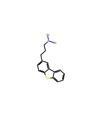 CCN(CC)CCCc1ccc2sc3ccccc3c2c1